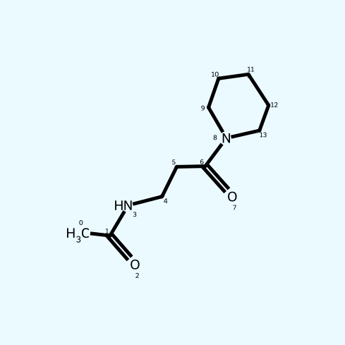 CC(=O)NCCC(=O)N1CC[CH]CC1